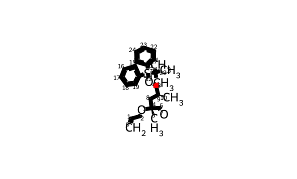 C=CCO[C@@](C)(C=O)C[C@@H](C)CO[Si](c1ccccc1)(c1ccccc1)C(C)(C)C